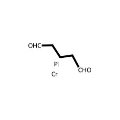 O=CCCCC=O.[Cr].[P]